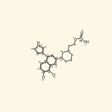 O=[PH](O)OCCC1CCCN(c2cc(-c3cn[nH]c3)c3ccc(Cl)c(Cl)c3n2)C1